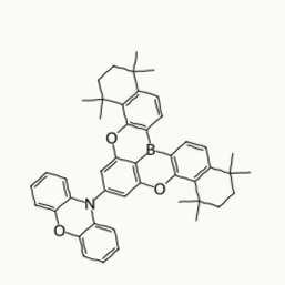 CC1(C)CCC(C)(C)c2c1ccc1c2Oc2cc(N3c4ccccc4Oc4ccccc43)cc3c2B1c1ccc2c(c1O3)C(C)(C)CCC2(C)C